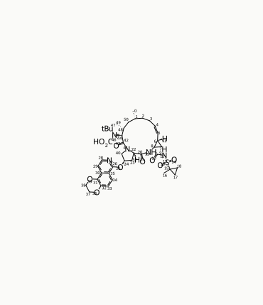 C[C@@H]1CC/C=C\[C@@H]2C[C@@]2(C(=O)NS(=O)(=O)C2(C)CC2)NC(=O)[C@@H]2C[C@@H](Oc3nccc4c5c(ccc34)OCCO5)CN2C(=O)[C@@H](N(C(=O)O)C(C)(C)C)[C@H](C)C1